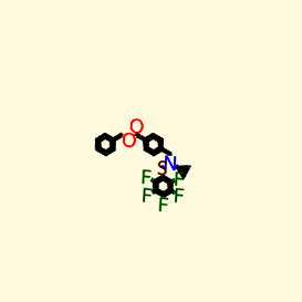 O=C(OCc1ccccc1)c1ccc(CN(Sc2c(F)c(F)c(F)c(F)c2F)C2CC2)cc1